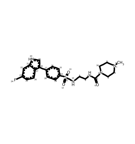 CN1CCN(C(=O)NCCNS(=O)(=O)c2ccc(-c3c[nH]c4cc(F)ccc34)cc2)CC1